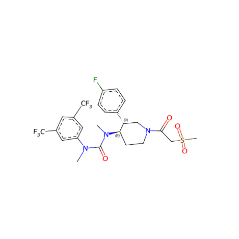 CN(C(=O)N(C)[C@@H]1CCN(C(=O)CS(C)(=O)=O)C[C@H]1c1ccc(F)cc1)c1cc(C(F)(F)F)cc(C(F)(F)F)c1